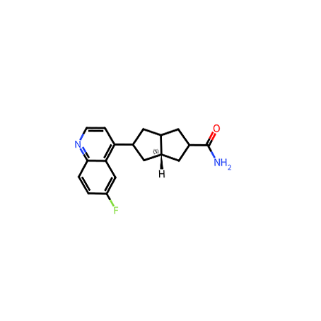 NC(=O)C1CC2CC(c3ccnc4ccc(F)cc34)C[C@H]2C1